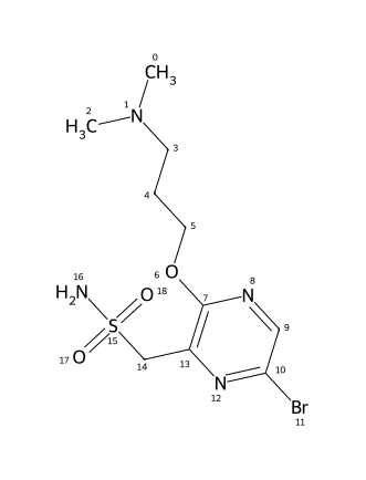 CN(C)CCCOc1ncc(Br)nc1CS(N)(=O)=O